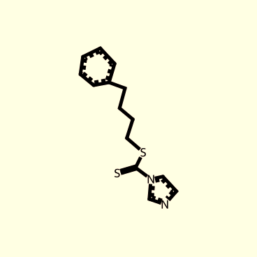 S=C(SCCCCc1ccccc1)n1ccnc1